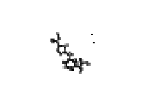 CCC(=O)C1CC[C@H](Oc2ncnc3c2nc(I)n3C)C1